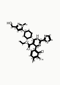 CCOC(=O)C1=C([C@H]2CC[C@H](c3cc(CO)nn3C)CC2)NC(c2nccs2)=NC1c1ccc(F)c(F)c1Cl